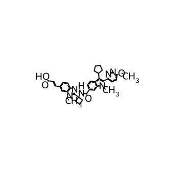 COc1ccc(-c2c(C3CCCC3)c3ccc(C(=O)NC4(c5nc6ccc(/C=C/C(=O)O)cc6n5C)CCC4)cc3n2C)nn1